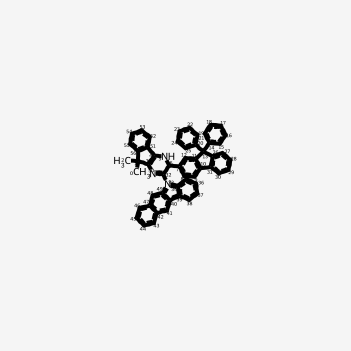 CC1(C)C2=C(NC(c3ccc4c(c3)C(c3ccccc3)(c3ccccc3)c3ccccc3-4)C(n3c4ccccc4c4cc5ccccc5cc43)=N2)c2ccccc21